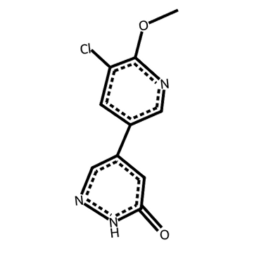 COc1ncc(-c2cn[nH]c(=O)c2)cc1Cl